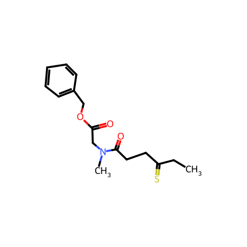 CCC(=S)CCC(=O)N(C)CC(=O)OCc1ccccc1